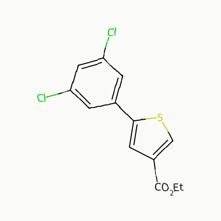 CCOC(=O)c1csc(-c2cc(Cl)cc(Cl)c2)c1